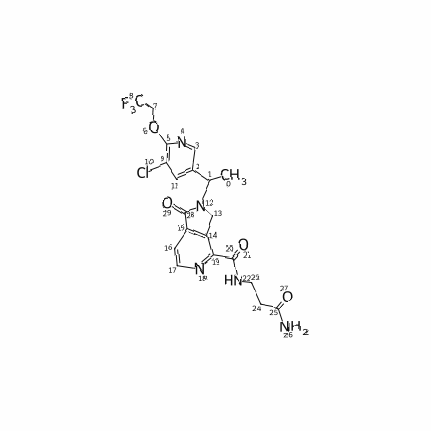 CC(c1cnc(OCC(F)(F)F)c(Cl)c1)N1Cc2c(ccnc2C(=O)NCCC(N)=O)C1=O